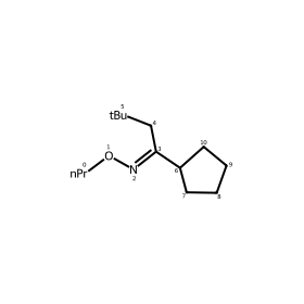 CCCON=C(CC(C)(C)C)C1CCCC1